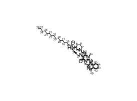 CC#CCn1c(N2CCCC(NC(=O)CCCCCCCCCCCCCCC)C2)nc2c1c(=O)n(Cc1nc(C)c3ccccc3n1)c(=O)n2C